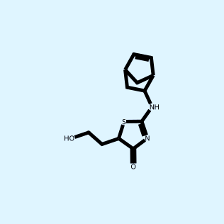 O=C1N=C(NC2CC3C=CC2C3)SC1CCO